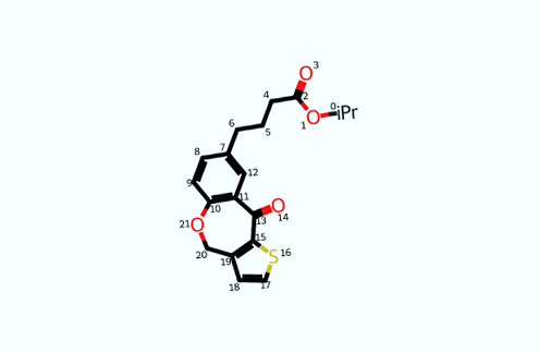 CC(C)OC(=O)CCCc1ccc2c(c1)C(=O)c1sccc1CO2